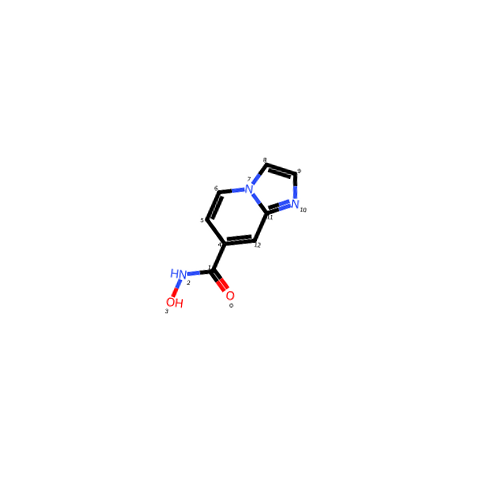 O=C(NO)c1ccn2ccnc2c1